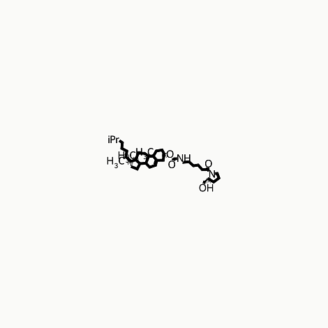 CC(C)CCC[C@@H](C)[C@H]1CCC2C3CC=C4C[C@@H](OC(=O)NCCCCCC(=O)N5CCC[C@H]5CO)CCC4(C)C3CC[C@@]21C